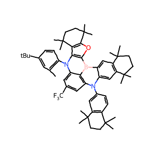 Cc1cc(C(C)(C)C)ccc1N1c2cc(C(F)(F)F)cc3c2B(c2cc4c(cc2N3c2ccc3c(c2)C(C)(C)CCC3(C)C)C(C)(C)CCC4(C)C)c2oc3c(c21)C(C)(C)CCC3(C)C